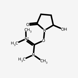 CN(C)C(ON1C(=O)CCC1O)=[N+](C)C